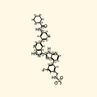 CS(=O)(=O)NCc1cc(F)cc(-c2ccnc3[nH]c(-c4n[nH]c5ncc(-c6cncc(NC(=O)C7CCCCC7)c6)cc45)nc23)c1